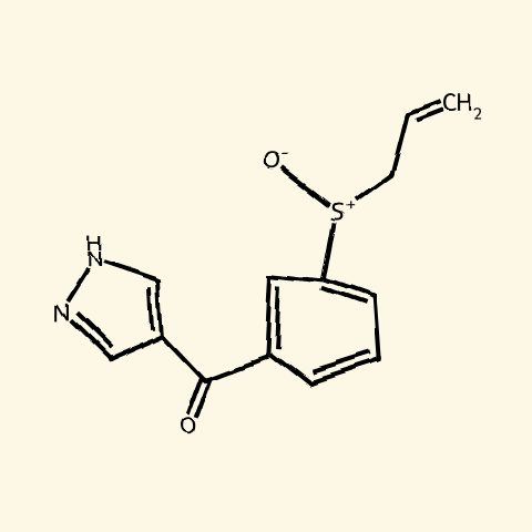 C=CC[S+]([O-])c1cccc(C(=O)c2cn[nH]c2)c1